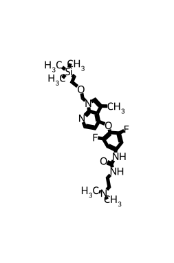 Cc1cn(COCC[Si](C)(C)C)c2nccc(Oc3c(F)cc(NC(=O)NCCN(C)C)cc3F)c12